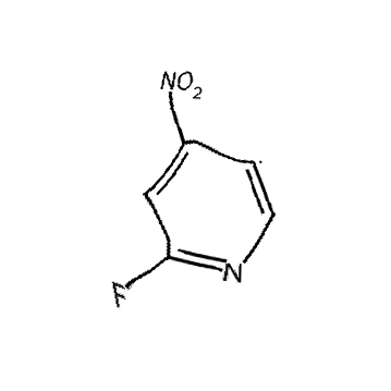 O=[N+]([O-])c1[c]cnc(F)c1